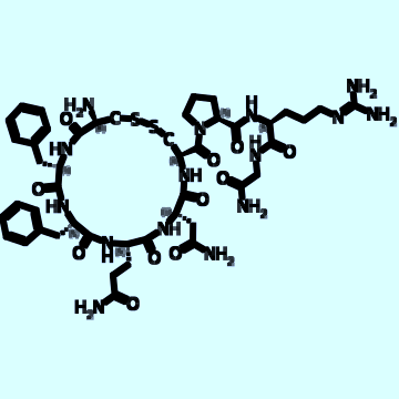 NC(=O)CC[C@@H]1NC(=O)[C@H](Cc2ccccc2)NC(=O)[C@H](Cc2ccccc2)NC(=O)[C@@H](N)CSSC[C@@H](C(=O)N2CCC[C@H]2C(=O)N[C@@H](CCCN=C(N)N)C(=O)NCC(N)=O)NC(=O)[C@H](CC(N)=O)NC1=O